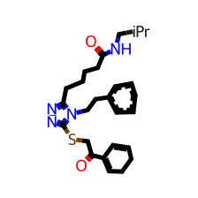 CC(C)CNC(=O)CCCCc1nnc(SCC(=O)C2=CCCC=C2)n1CCc1ccccc1